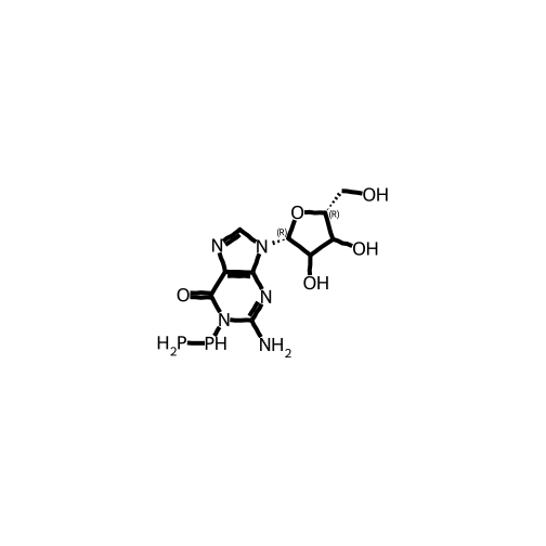 Nc1nc2c(ncn2[C@@H]2O[C@H](CO)C(O)C2O)c(=O)n1PP